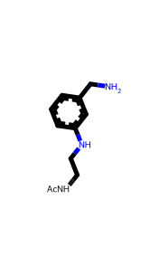 CC(=O)NCCNc1cccc(CN)c1